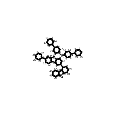 c1ccc(-c2ccc(N3c4ccc(-c5ccccc5)cc4B4c5cc(-c6ccccc6)ccc5-c5cc(-c6cccc7sc8ccccc8c67)cc3c54)cc2)cc1